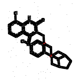 O=c1[nH]c2c(Cl)cccc2c(=O)n1CCCCN1C2CCC1CN(c1ccc(Cl)cc1)C2